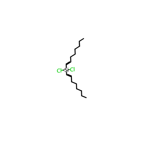 CCCCCC/C=C/[Si](Cl)(Cl)/C=C/CCCCCC